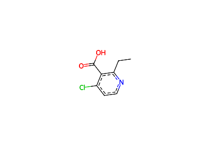 CCc1nccc(Cl)c1C(=O)O